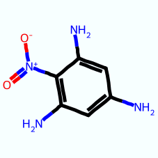 Nc1cc(N)c([N+](=O)[O-])c(N)c1